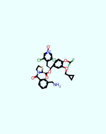 NCc1cccc(C(=O)N2CCS[C@H]2C(=O)O[C@@H](Cc2c(Cl)c[n+]([O-])cc2Cl)c2ccc(OC(F)F)c(OCC3CC3)c2)c1